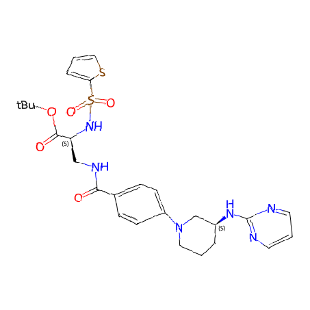 CC(C)(C)OC(=O)[C@H](CNC(=O)c1ccc(N2CCC[C@H](Nc3ncccn3)C2)cc1)NS(=O)(=O)c1cccs1